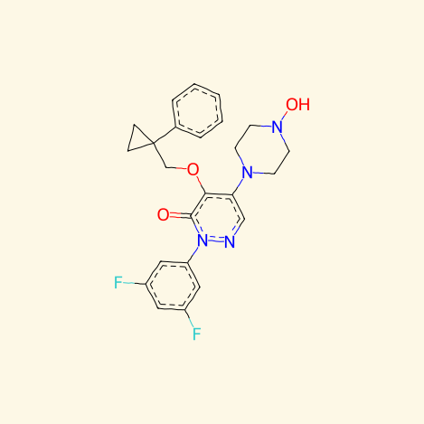 O=c1c(OCC2(c3ccccc3)CC2)c(N2CCN(O)CC2)cnn1-c1cc(F)cc(F)c1